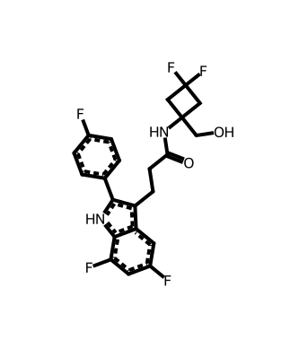 O=C(CCc1c(-c2ccc(F)cc2)[nH]c2c(F)cc(F)cc12)NC1(CO)CC(F)(F)C1